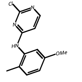 COc1ccc(C)c(Nc2ccnc(Cl)n2)c1